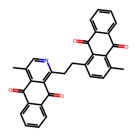 Cc1ccc(CCc2ncc(C)c3c2C(=O)c2ccccc2C3=O)c2c1C(=O)c1ccccc1C2=O